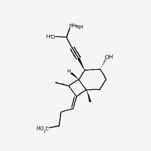 CCCCCCCC(O)C#C[C@H]1[C@H](O)CC[C@]2(C)C(=CCCC(=O)O)C(C)[C@H]12